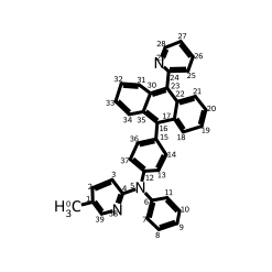 Cc1ccc(N(c2ccccc2)c2ccc(-c3c4ccccc4c(-c4ccccn4)c4ccccc34)cc2)nc1